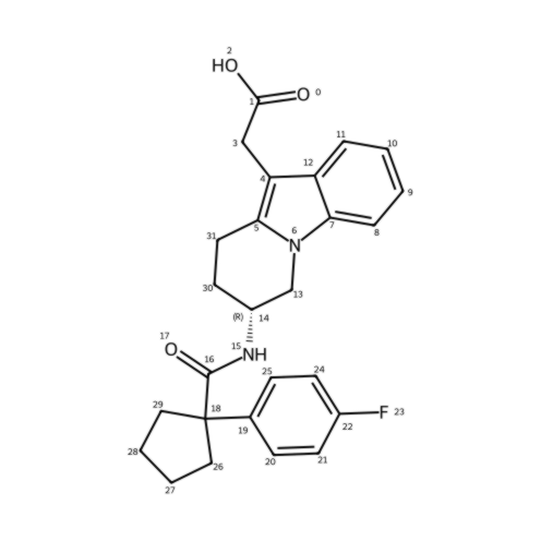 O=C(O)Cc1c2n(c3ccccc13)C[C@H](NC(=O)C1(c3ccc(F)cc3)CCCC1)CC2